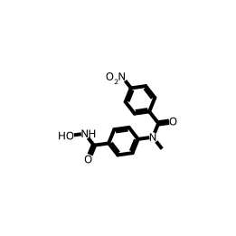 CN(C(=O)c1ccc([N+](=O)[O-])cc1)c1ccc(C(=O)NO)cc1